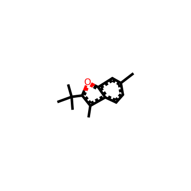 Cc1ccc2c(C)c(C(C)(C)C)oc2c1